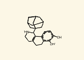 Oc1ccc2c(c1O)CCC1=C2C(C23CC4CC(CC(C4)C2)C3)NCC1